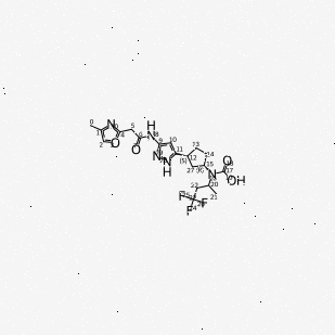 Cc1coc(CC(=O)Nc2cc([C@H]3CC[C@@H](N(C(=O)O)C(C)CC(F)(F)F)C3)[nH]n2)n1